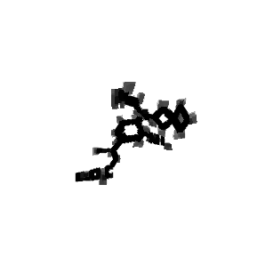 CCOC(=O)C[C@@H](C)c1ccc(N(CC(C)C)C2CC3(CCC3)C2)c(N)c1